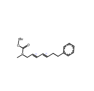 CN(C/C=C/C=C/CCc1ccccc1)C(=O)OC(C)(C)C